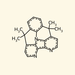 CC1(C)c2cccc3c2-n2c4c1ccnc4c1nccc(c12)C3(C)C